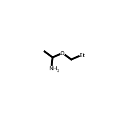 CC[CH]OC(C)N